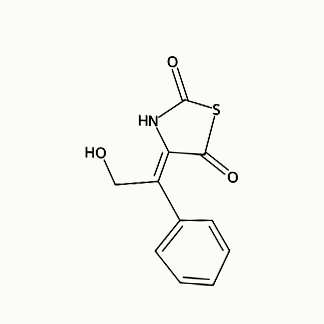 O=C1NC(=C(CO)c2ccccc2)C(=O)S1